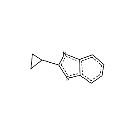 c1ccc2sc([C]3CC3)nc2c1